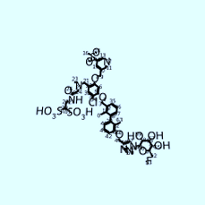 Cc1c(COc2cc(OCc3cncc(S(C)(=O)=O)c3)c(CN(C)CC(=O)NCC(S(=O)(=O)O)S(=O)(=O)O)cc2Cl)cccc1-c1cccc(OCc2cn([C@@H]3O[C@H](CF)[C@@H](O)[C@H](O)[C@H]3O)nn2)c1C